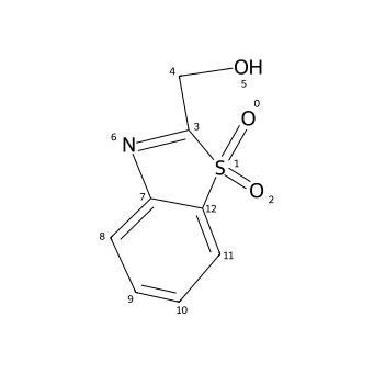 O=S1(=O)C(CO)=Nc2ccccc21